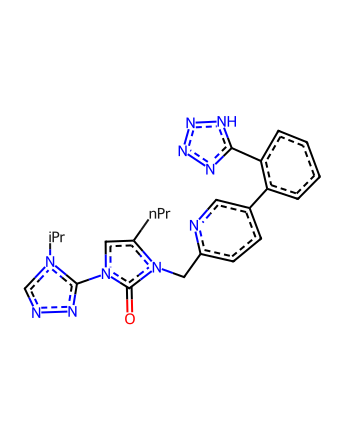 CCCc1cn(-c2nncn2C(C)C)c(=O)n1Cc1ccc(-c2ccccc2-c2nnn[nH]2)cn1